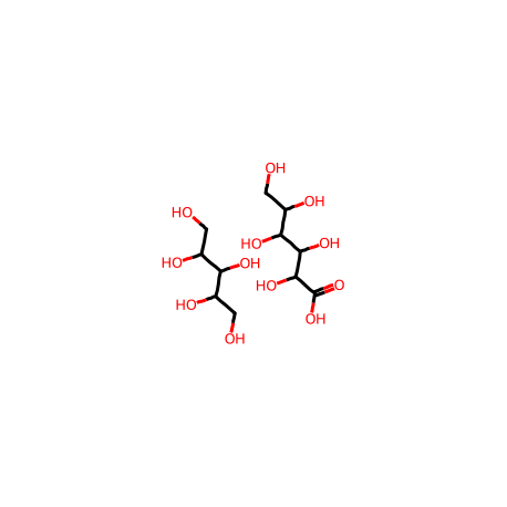 O=C(O)C(O)C(O)C(O)C(O)CO.OCC(O)C(O)C(O)CO